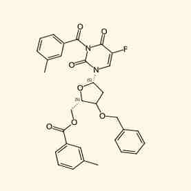 Cc1cccc(C(=O)OC[C@@H]2O[C@H](n3cc(F)c(=O)n(C(=O)c4cccc(C)c4)c3=O)CC2OCc2ccccc2)c1